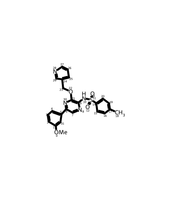 COc1cccc(-c2cnc(NS(=O)(=O)c3ccc(C)cc3)c(OCc3cccnc3)n2)c1